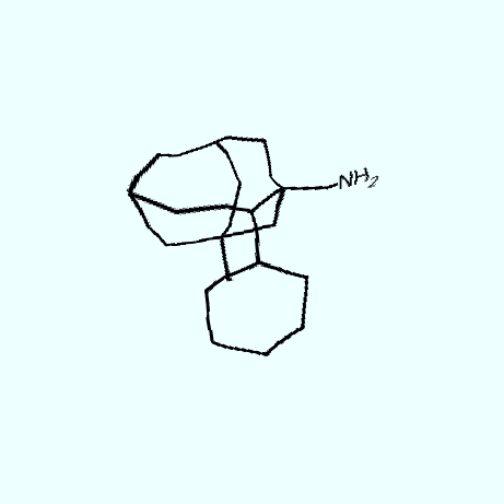 CC12CC3CC(C1)C(C1CCCCC1)C(N)(C3)C2